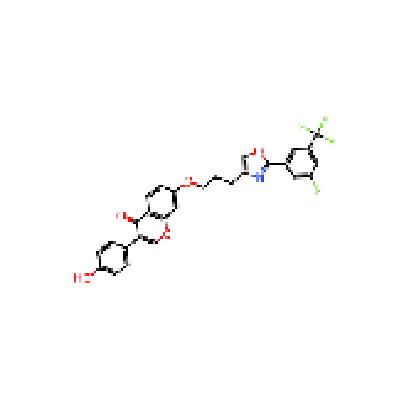 O=c1c(-c2ccc(O)cc2)coc2cc(OCCCc3coc(-c4cc(F)cc(C(F)(F)F)c4)n3)ccc12